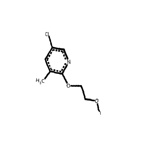 Cc1cc(Cl)cnc1OCCOI